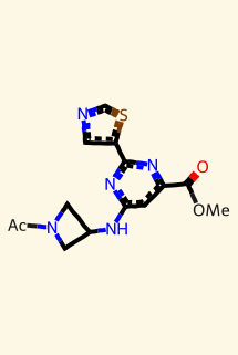 COC(=O)c1cc(NC2CN(C(C)=O)C2)nc(-c2cncs2)n1